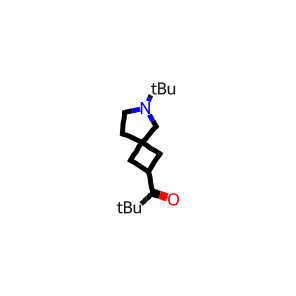 CC(C)(C)C(=O)C1CC2(CCN(C(C)(C)C)C2)C1